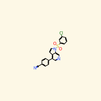 N#Cc1ccc(-c2cncc3c2ccn3S(=O)(=O)c2cccc(Cl)c2)cc1